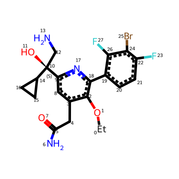 CCOc1c(CC(N)=O)cc([C@@](O)(CN)C2CC2)nc1-c1ccc(F)c(Br)c1F